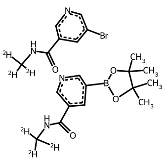 [2H]C([2H])([2H])NC(=O)c1cncc(B2OC(C)(C)C(C)(C)O2)c1.[2H]C([2H])([2H])NC(=O)c1cncc(Br)c1